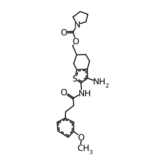 COc1cccc(CCC(=O)Nc2sc3c(c2N)CCC(COC(=O)N2CCCC2)C3)c1